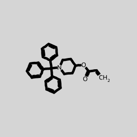 C=CC(=O)OC1CCN(C(c2ccccc2)(c2ccccc2)c2ccccc2)CC1